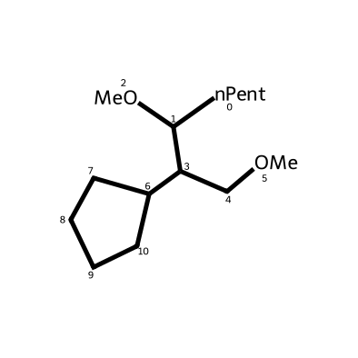 CCCCCC(OC)C(COC)C1CCCC1